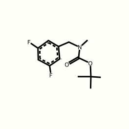 CN(Cc1[c]c(F)cc(F)c1)C(=O)OC(C)(C)C